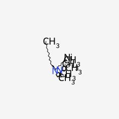 CCCCCCCCCCCCC#CC(=Nc1ccc(C)c(C)c1)C(CCCCCC)=Nc1ccc(C)c(C)c1.[Ni]